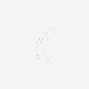 CC1(C)CCc2cc(N(c3ccccc3)c3ccc4c(c3)-c3c(ccc5ccccc35)C4(C)C)cc3cc4c(oc5ccc(N(c6ccccc6)c6ccc7c(c6)-c6c(ccc8ccccc68)C7(C)C)cc54)c1c23